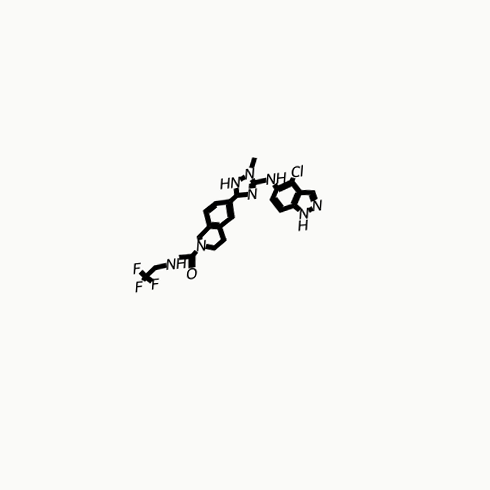 CN1NC(c2ccc3c(c2)CCN(C(=O)CNCC(F)(F)F)C3)N=C1Nc1ccc2[nH]ncc2c1Cl